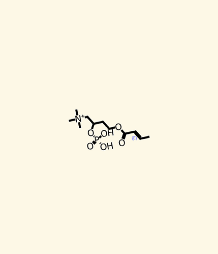 C/C=C/C(=O)OCCC(C[N+](C)(C)C)OP(=O)(O)O